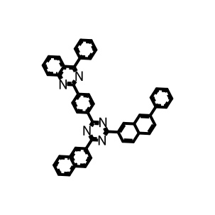 C1=CC2C=CC(c3nc(-c4ccc(-c5nc(-c6ccccc6)c6ccccc6n5)cc4)nc(-c4ccc5ccccc5c4)n3)=CC2C=C1c1ccccc1